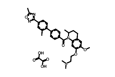 COc1cc2c(cc1OCCN(C)C)N(C(=O)c1ccc(-c3ccc(-c4noc(C)n4)cc3C)cc1)C(C)CC2.O=C(O)C(=O)O